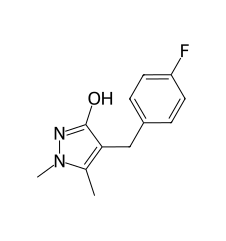 Cc1c(Cc2ccc(F)cc2)c(O)nn1C